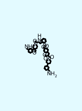 NCc1cccc(C2CCN(C(=O)c3cc4cc5c(cc4oc3=O)OB(c3cccc4[nH]c(C(=O)N6CCC7(CC6)COc6ccc(CN)cc67)cc34)O5)CC2)c1